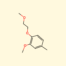 COCCOc1ccc(C)cc1OC